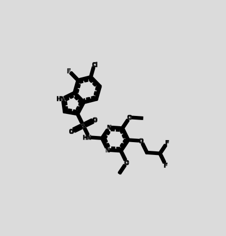 COc1nc(NS(=O)(=O)c2c[nH]c3c(F)c(Cl)ccc23)nc(OC)c1OCC(F)F